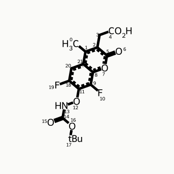 Cc1c(CC(=O)O)c(=O)oc2c(F)c(ONC(=O)OC(C)(C)C)c(F)cc12